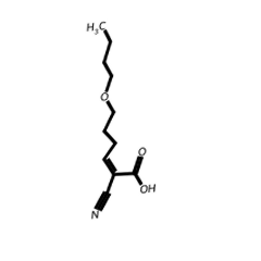 CCCCOCCCC=C(C#N)C(=O)O